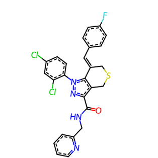 O=C(NCc1ccccn1)c1nn(-c2ccc(Cl)cc2Cl)c2c1CSC/C2=C\c1ccc(F)cc1